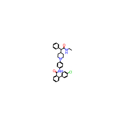 CCNC(=O)C(c1ccccc1)C1CCN(c2ccc(NC(=O)c3ccccc3-c3ccc(Cl)cc3)cc2)CC1